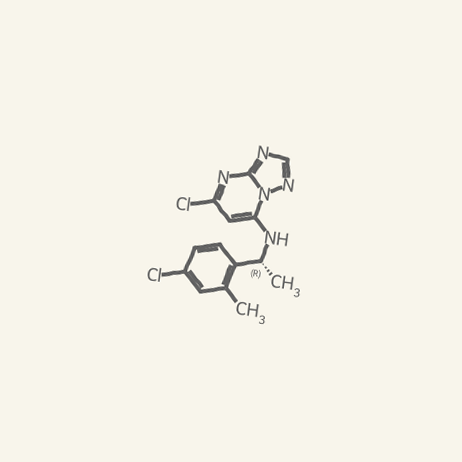 Cc1cc(Cl)ccc1[C@@H](C)Nc1cc(Cl)nc2ncnn12